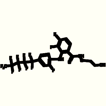 O=C(NOCCO)c1ccc(F)c(F)c1Nc1ccc(C(F)(F)C(F)(F)C(F)(F)C(F)(F)C(F)(F)F)cc1F